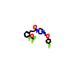 O=C(CCc1ccccc1OC(F)(F)F)N1CCN(CCOc2ccc(F)cc2)CC1